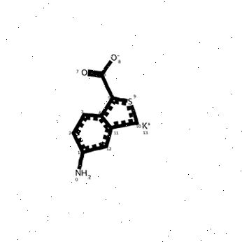 Nc1ccc2c(C(=O)[O-])scc2c1.[K+]